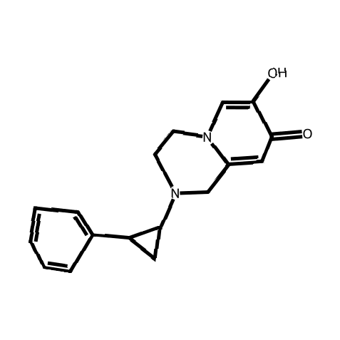 O=c1cc2n(cc1O)CCN(C1CC1c1ccccc1)C2